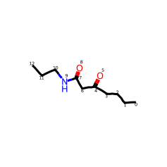 CCCCC(=O)CC(=O)NCCC